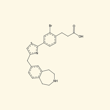 O=C(O)CCc1ccc(-c2nc(Cc3ccc4c(c3)CCNCC4)cs2)cc1Br